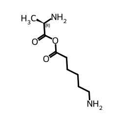 C[C@@H](N)C(=O)OC(=O)CCCCCN